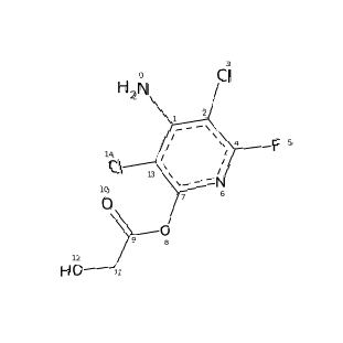 Nc1c(Cl)c(F)nc(OC(=O)CO)c1Cl